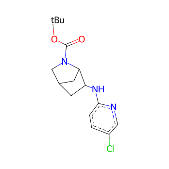 CC(C)(C)OC(=O)N1CC2CC(Nc3ccc(Cl)cn3)C1C2